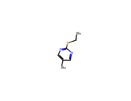 CC(C)(C)CSc1ncc(C(C)(C)C)cn1